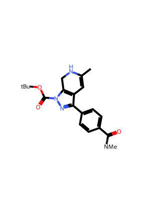 CNC(=O)c1ccc(-c2nn(C(=O)OC(C)(C)C)c3c2C=C(C)NC3)cc1